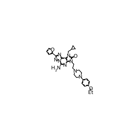 CCOc1ccc(N2CCN(CCn3c(=O)n(CC4CC4)c4c3nc(N)n3nc(-c5ccco5)nc43)CC2)cc1